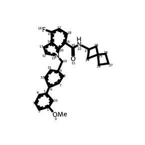 COc1cccc(-c2ccc(Cn3ccc4c(F)ccc(C(=O)NC5CC6(CCC6)C5)c43)cc2)c1